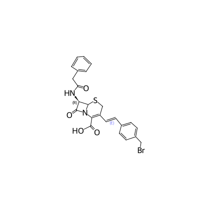 O=C(Cc1ccccc1)N[C@@H]1C(=O)N2C(C(=O)O)=C(/C=C/c3ccc(CBr)cc3)CSC12